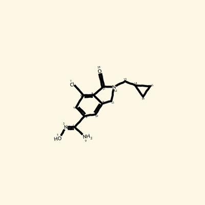 N/C(=N\O)c1cc(Cl)c2c(c1)CN(CC1CC1)C2=O